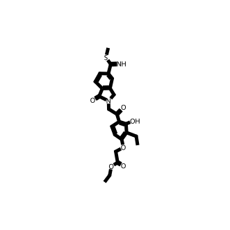 CCOC(=O)COc1ccc(C(=O)CN2Cc3cc(C(=N)SC)ccc3C2=O)c(O)c1CC